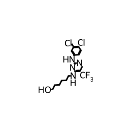 OCCCCCCNc1nc(Nc2ccc(Cl)c(Cl)c2)ncc1C(F)(F)F